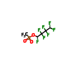 O=S(=O)(OC(F)C(F)(F)C(F)(F)C(F)F)C(F)(F)F